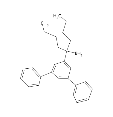 BC(CCCC)(CCCC)c1cc(-c2ccccc2)cc(-c2ccccc2)c1